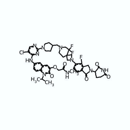 CNC(=O)COc1cc2cc(Nc3nc(N4CCC(CN5CCC6(CN(c7ccc8c(c7F)CN(C7CCC(=O)NC7=O)C8=O)C6)C(F)(F)C5)CC4)ncc3Cl)ccc2n(C(C)C)c1=O